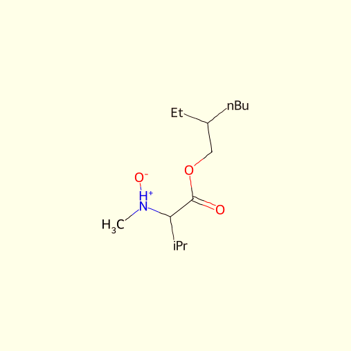 CCCCC(CC)COC(=O)C(C(C)C)[NH+](C)[O-]